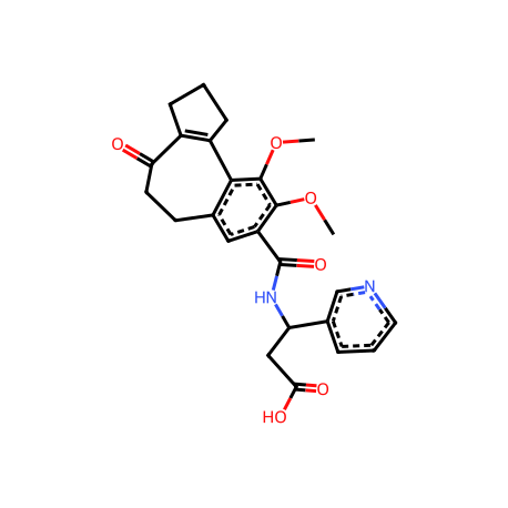 COc1c(C(=O)NC(CC(=O)O)c2cccnc2)cc2c(c1OC)C1=C(CCC1)C(=O)CC2